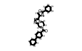 O=C(c1ccc(-c2ccccc2)cc1)N1CCn2c(nnc2-c2coc(-c3ccccc3)n2)C1